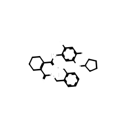 O=C(NCc1ccccc1Cl)C1=C(C(=O)Nc2cc(OC3CCCC3)c(Cl)cc2F)CCCC1